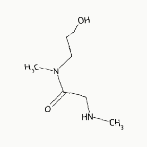 CNCC(=O)N(C)CCO